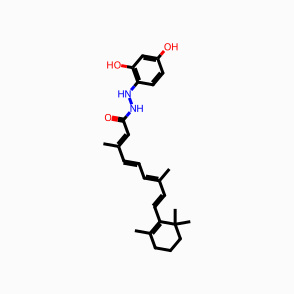 CC(C=CC1=C(C)CCCC1(C)C)=CC=CC(C)=CC(=O)NNc1ccc(O)cc1O